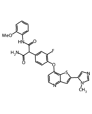 COc1ccccc1NC(=O)C(C(N)=O)c1ccc(Oc2ccnc3cc(-c4cncn4C)sc23)c(F)c1